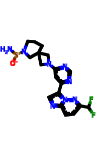 N[S+]([O-])N1CCCC2(CN(c3cc(-c4cnc5ccc(C(F)F)nn45)ncn3)C2)C1